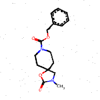 CN1CC2(CCN(C(=O)OCc3ccccc3)CC2)OC1=O